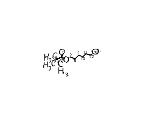 CC(C)(C)C(=O)OCCCCCC[O]